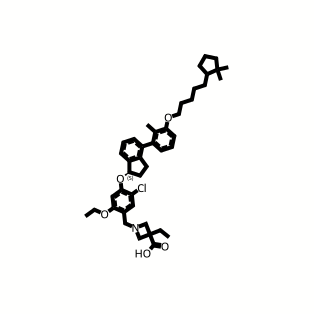 CCOc1cc(O[C@H]2CCc3c(-c4cccc(OCCCCCC5CCCC5(C)C)c4C)cccc32)c(Cl)cc1CN1CC(CC)(C(=O)O)C1